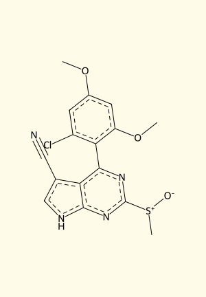 COc1cc(Cl)c(-c2nc([S+](C)[O-])nc3[nH]cc(C#N)c23)c(OC)c1